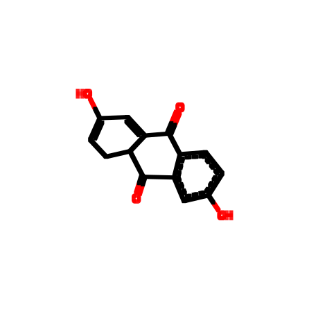 O=C1C2=CC(O)=CCC2C(=O)c2cc(O)ccc21